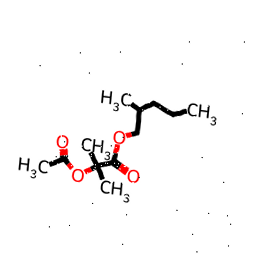 CCCC(C)COC(=O)C(C)(C)OC(C)=O